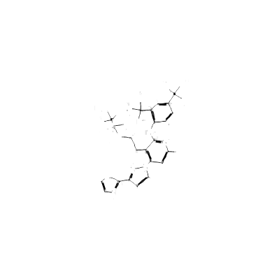 Cc1cc(-n2ccc(-c3nccs3)n2)c(CCO[Si](C)(C)C(C)(C)C)c(Nc2ccc(C(F)(F)F)cc2C(F)(F)F)n1